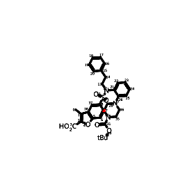 Cc1c(C(=O)O)oc2ccc(S(=O)(=O)N(CCc3ccccc3)c3ccccc3N3CCN(C(=O)OC(C)(C)C)CC3)cc12